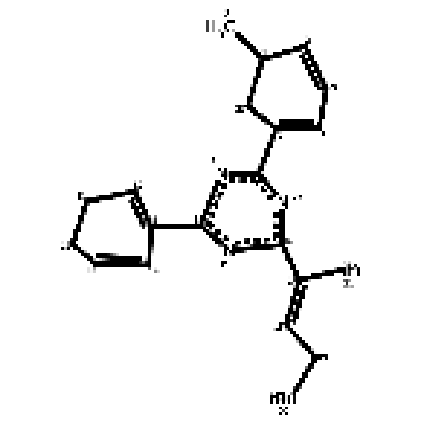 CC1C=CC=C(c2nc(C3=CCCC=C3)nc(/C(=C/CC(C)(C)C)C(C)C)n2)C1